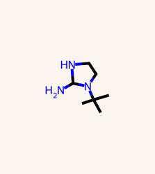 CC(C)(C)N1CCNC1N